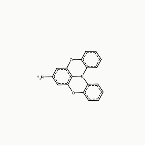 Nc1cc2c3c(c1)Oc1ccccc1B3c1ccccc1O2